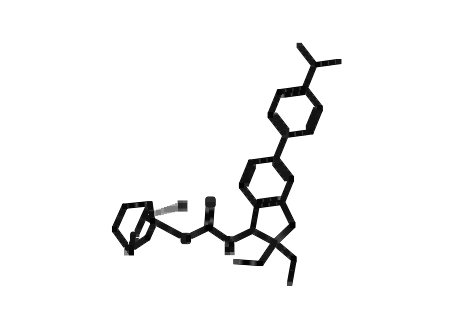 CCC1(CC)Cc2cc(-c3ccc(C(C)C)cc3)ccc2C1NC(=O)O[C@H]1CN2CCC1CC2